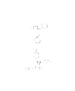 CO/N=C(/CC(O)O)c1ccc(OCc2ccc(OCC(=N)c3ccccc3)cc2)cc1